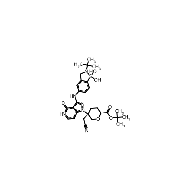 CC(C)(C)OC(=O)[C@@H]1CC[C@@](CC#N)(n2nc(Nc3ccc4c(c3)CN(C(C)(C)C)S4(O)O)c3c(=O)[nH]ccc32)CO1